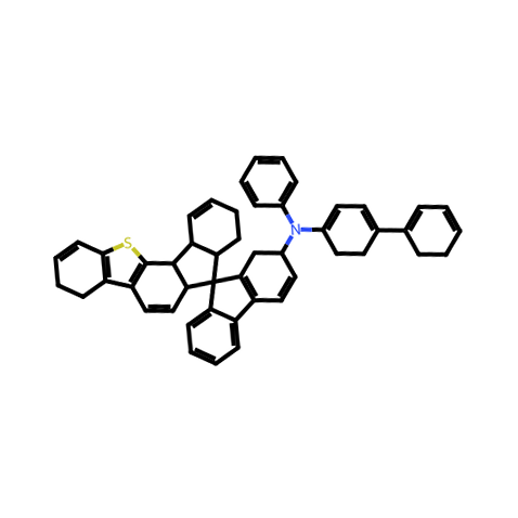 C1=CCCC(C2=CC=C(N(c3ccccc3)C3C=CC4=C(C3)C3(c5ccccc54)C4C=Cc5c(sc6c5CCC=C6)C4C4C=CCCC43)CC2)=C1